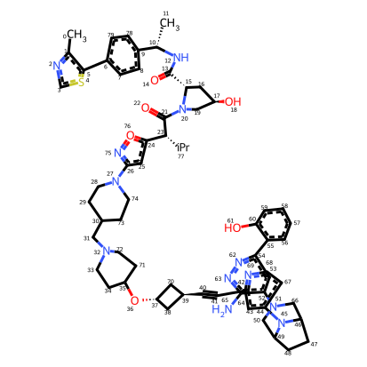 Cc1ncsc1-c1ccc([C@H](C)NC(=O)[C@@H]2C[C@@H](O)CN2C(=O)[C@@H](c2cc(N3CCC(CN4CCC(O[C@H]5C[C@H](C#Cc6cc(N7C8CCC7CN(c7cc(-c9ccccc9O)nnc7N)C8)ccn6)C5)CC4)CC3)no2)C(C)C)cc1